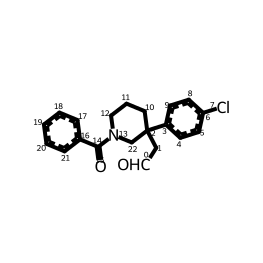 O=CCC1(c2ccc(Cl)cc2)CCCN(C(=O)c2ccccc2)C1